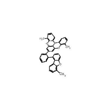 Cc1cccc2c1Oc1cc(-c3ccccc3-c3cccc4oc5c(C)cccc5c34)cc3c1B2c1cccc(C)c1O3